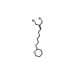 BrCC(=CCCCCOC1CCCCO1)CBr